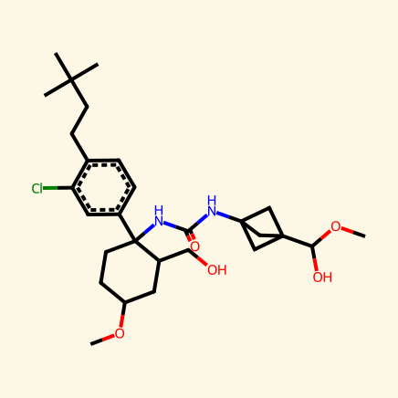 COC1CCC(NC(=O)NC23CC(C(O)OC)(C2)C3)(c2ccc(CCC(C)(C)C)c(Cl)c2)C(CO)C1